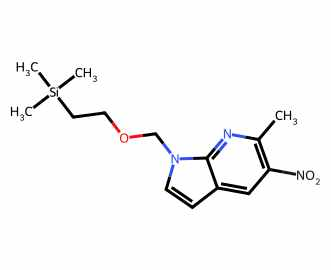 Cc1nc2c(ccn2COCC[Si](C)(C)C)cc1[N+](=O)[O-]